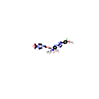 COc1ccc(-c2cnc3c(Nc4ccc(C(=O)N(C)CCOCCN5CCN(C6COC6)CC5)c(C)c4)nccn23)cc1F